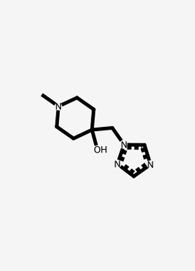 CN1CCC(O)(Cn2cncn2)CC1